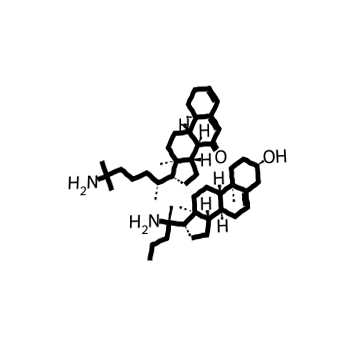 CCC[C@](C)(N)[C@H]1CC[C@H]2[C@@H]3CC=C4C[C@@H](O)CC[C@]4(C)[C@H]3CC[C@@]21C.C[C@H](CCCC(C)(C)N)[C@H]1CC[C@H]2[C@@H]3C(=O)C=C4C=CCC[C@]4(C)[C@H]3CC[C@]12C